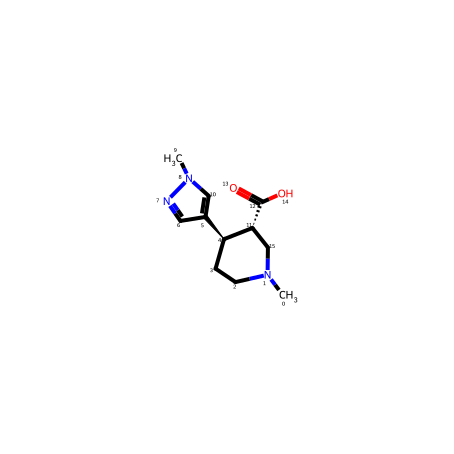 CN1CC[C@@H](c2cnn(C)c2)[C@H](C(=O)O)C1